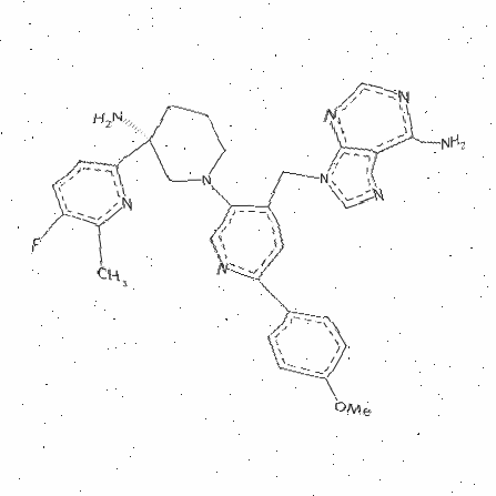 COc1ccc(-c2cc(Cn3cnc4c(N)ncnc43)c(N3CCC[C@](N)(c4ccc(F)c(C)n4)C3)cn2)cc1